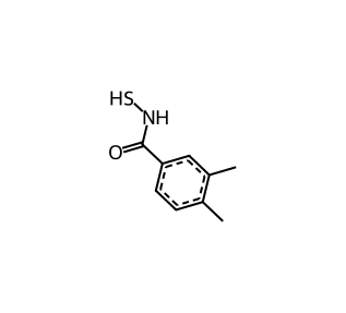 Cc1ccc(C(=O)NS)cc1C